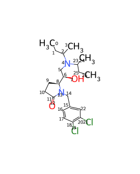 CCC(C)N(C[C@@H](O)[C@@H]1CCC(=O)N1Cc1ccc(Cl)c(Cl)c1)C(C)CC